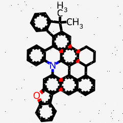 CC1(C)c2ccccc2-c2c(-c3ccccc3N(c3ccc4c(c3)oc3ccccc34)c3ccccc3-c3cccc4cccc(C5CCCCC5)c34)cccc21